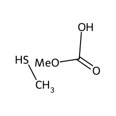 COC(=O)O.CS